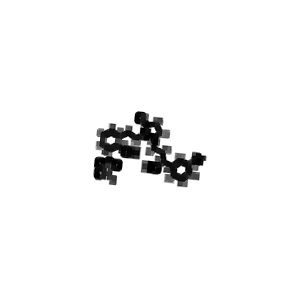 COC(=O)c1cccc(CCN2C(=O)CCN2CCC(O)c2cccc(Br)c2)c1O